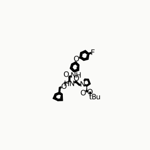 CC(C)(C)OC(=O)[C@@H]1CCCN1CC(=O)N[C@@H](COCc1ccccc1)C(=O)Nc1ccc(Oc2ccc(F)cc2)cc1